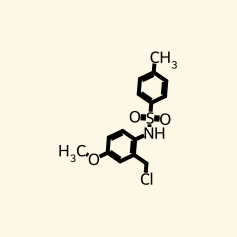 COc1ccc(NS(=O)(=O)c2ccc(C)cc2)c(CCl)c1